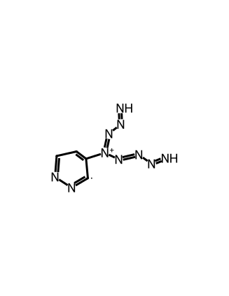 N=NN=N[N+](=NN=N)c1[c]nncc1